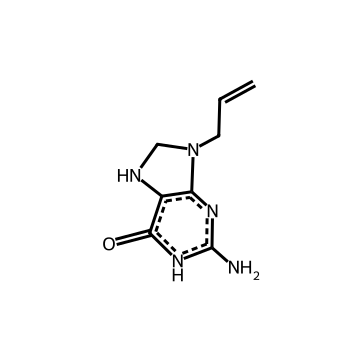 C=CCN1CNc2c1nc(N)[nH]c2=O